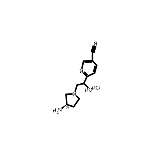 Cl.N#Cc1ccc(C(O)CN2CC[C@@H](N)C2)nc1